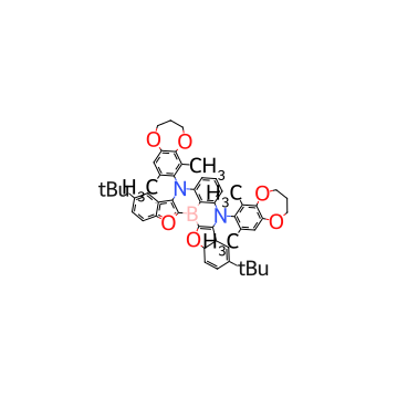 Cc1cc2c(c(C)c1N1C3=C(OC4C=CC(C(C)(C)C)=CC34)B3c4oc5ccc(C(C)(C)C)cc5c4N(c4c(C)cc5c(c4C)OCCCO5)c4cccc1c43)OCCCO2